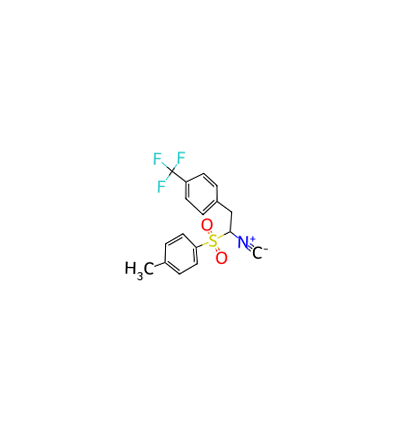 [C-]#[N+]C(Cc1ccc(C(F)(F)F)cc1)S(=O)(=O)c1ccc(C)cc1